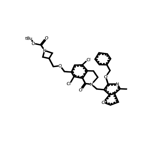 Cc1nc(OCc2ccccc2)c(CN2CCc3c(Cl)cc(COCC4CN(C(=O)OC(C)(C)C)C4)c(Cl)c3C2=O)c2occc12